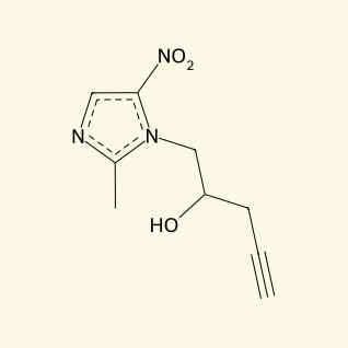 C#CCC(O)Cn1c([N+](=O)[O-])cnc1C